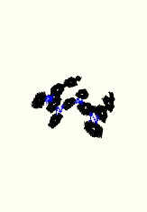 C=Cc1ccc(-c2ccc3c(c2)c2cc(N(c4ccccc4)c4ccc(N(c5ccccc5)c5ccc6c(c5)c5cc(-c7ccc(C=C)cc7)ccc5n6-c5ccccc5)cc4)ccc2n3-c2ccccc2)cc1